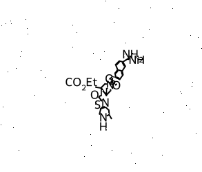 CCOC(=O)CC1CN(S(=O)(=O)c2ccc3cc(C(=N)N)ccc3c2)CCN1C(=O)c1nc2c(s1)CNC(C)C2